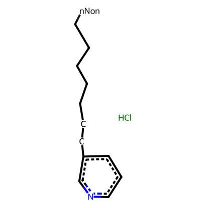 CCCCCCCCCCCCCCCCc1cccnc1.Cl